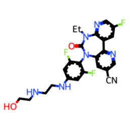 CCN1C(=O)N(c2c(F)cc(NCCNCCO)cc2F)c2cc(C#N)cnc2-c2cc(F)cnc21